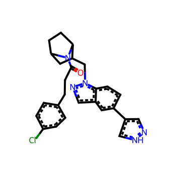 O=C(CCc1ccc(Cl)cc1)N1C2CCC1C(Cn1ncc3cc(-c4cn[nH]c4)ccc31)C2